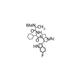 CNC(C)C(=O)NC(C(=O)N1CCC2C1=C(c1c[nH]c3cc(F)ccc13)CN2C(C)=O)C1CCCCC1